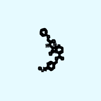 O=C(COc1ccccc1)NC1C(=O)N2C(C(=O)OCc3ccc([N+](=O)[O-])cc3)=CCS[C@H]12